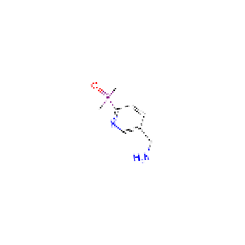 CP(C)(=O)c1ccc(CN)cn1